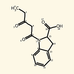 CCC(=O)CC(=O)N1c2ccccc2CC1C(=O)O